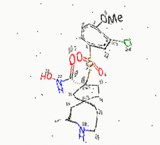 COc1ccc(S(=O)(=O)[C@@]2(C(=O)NO)CCC3(CCNCC3)C2)cc1Cl